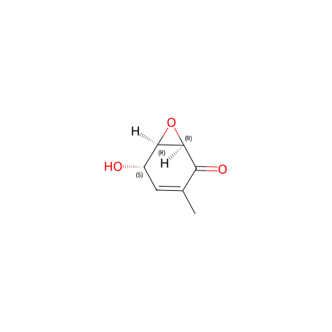 CC1=C[C@H](O)[C@H]2O[C@H]2C1=O